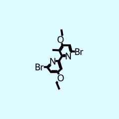 CCOc1cc(Br)nc(-c2nc(Br)cc(OCC)c2C)c1